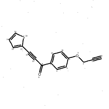 C#CCOc1ccc(C(=O)C#Cc2cccs2)cc1